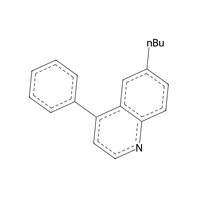 CCCCc1ccc2nccc(-c3ccccc3)c2c1